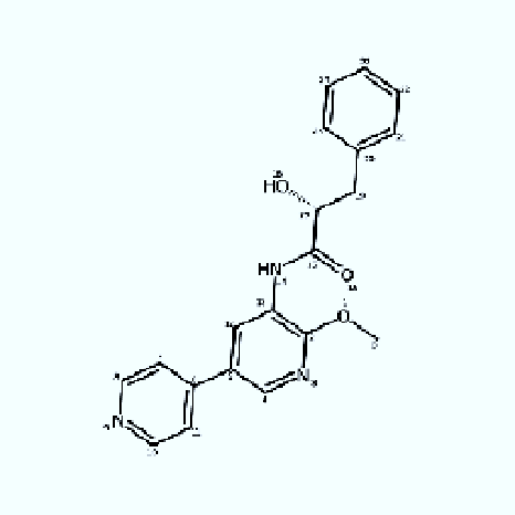 COc1ncc(-c2ccncc2)cc1NC(=O)[C@H](O)Cc1ccccc1